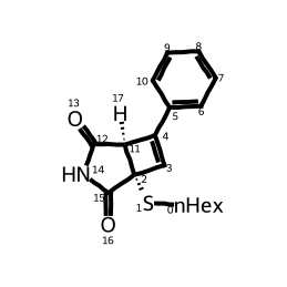 CCCCCCS[C@@]12C=C(c3ccccc3)[C@@H]1C(=O)NC2=O